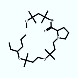 CCCC(CC)OC(C)(C)CCOC(C)(C)CCN1CCCC1C(=O)NC(C)(C)CC(C)(C)OC